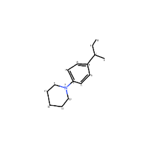 CCC(C)c1ccc(N2CCCCC2)cc1